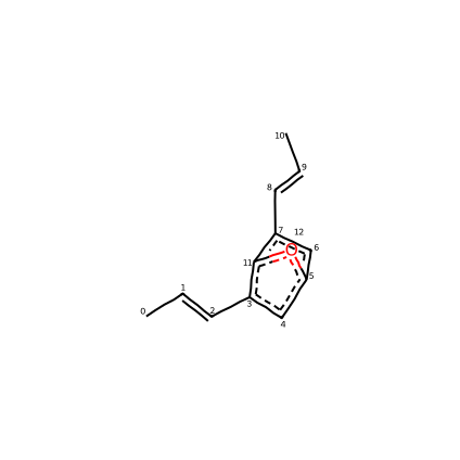 CC=Cc1cc2cc(C=CC)c1o2